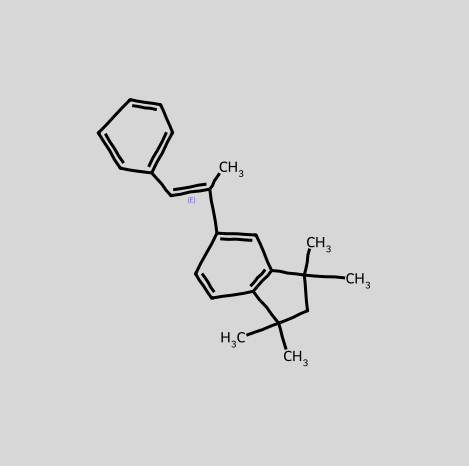 C/C(=C\c1ccccc1)c1ccc2c(c1)C(C)(C)CC2(C)C